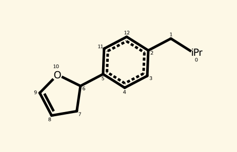 CC(C)Cc1ccc(C2CC=CO2)cc1